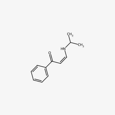 CC(C)N/C=C\C(=O)c1ccccc1